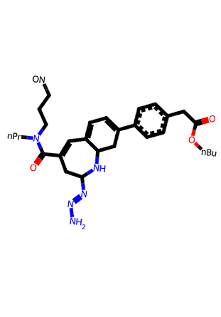 CCCCOC(=O)Cc1ccc(C2=CC=C3C=C(C(=O)N(CCC)CCCN=O)CC(N=NN)NC3C2)cc1